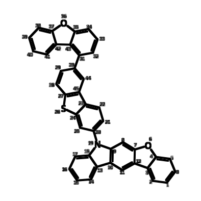 c1ccc2c(c1)oc1cc3c(cc12)c1ccccc1n3-c1ccc2c(c1)sc1ccc(-c3cccc4oc5ccccc5c34)cc12